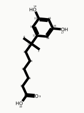 CC(C)(CCCCCC(=O)O)c1cc(O)cc(O)c1